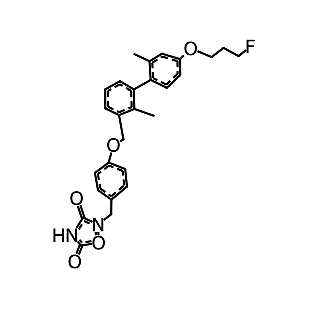 Cc1cc(OCCCF)ccc1-c1cccc(COc2ccc(Cn3oc(=O)[nH]c3=O)cc2)c1C